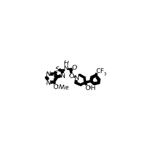 COc1ncnc2sc(NC(=O)ON3CCC(O)(c4cccc(C(F)(F)F)c4)CC3)nc12